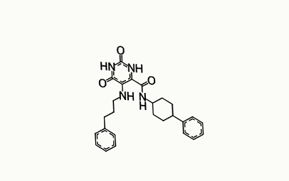 O=C(NC1CCC(c2ccccc2)CC1)c1[nH]c(=O)[nH]c(=O)c1NCCCc1ccccc1